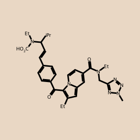 CCc1cc2cc(C(=O)N(CC)Cc3nnn(C)n3)ccn2c1C(=O)c1ccc(C=CC(C(C)C)N(CC)C(=O)O)cc1